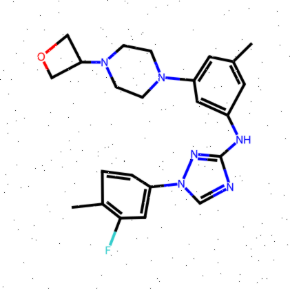 Cc1cc(Nc2ncn(-c3ccc(C)c(F)c3)n2)cc(N2CCN(C3COC3)CC2)c1